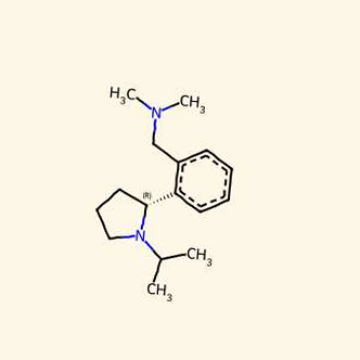 CC(C)N1CCC[C@@H]1c1ccccc1CN(C)C